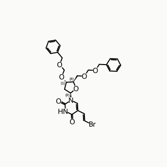 O=c1[nH]c(=O)n([C@H]2C[C@H](OCOCc3ccccc3)[C@@H](COCOCc3ccccc3)O2)cc1C=CBr